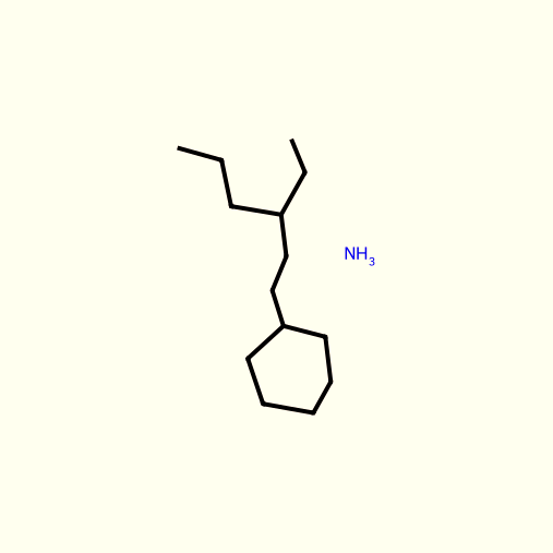 CCCC(CC)CCC1CCCCC1.N